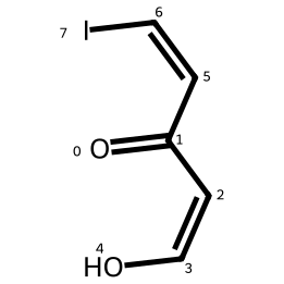 O=C(/C=C\O)/C=C\I